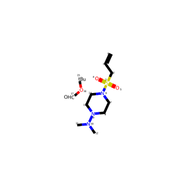 C=CCS(=O)(=O)N1CCN(N(C)C)CC1.CC(C)(C)OC=O